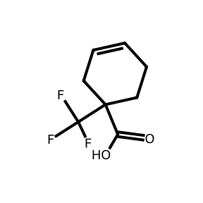 O=C(O)C1(C(F)(F)F)CC=CCC1